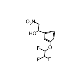 O=[N+]([O-])CC(O)c1cccc(OC(F)C(F)F)c1